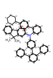 CC1(C)c2ccccc2-c2ccc(N(c3ccc(-c4c(-c5ccccc5)cccc4-c4ccccc4)cc3)c3ccccc3-c3ccc(C4CCCCC4)cc3)cc21